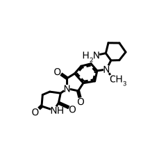 CN(c1ccc2c(c1)C(=O)N(C1CCC(=O)NC1=O)C2=O)C1CCCCC1N